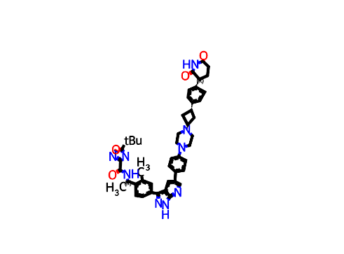 Cc1cc(-c2n[nH]c3ncc(-c4ccc(N5CCN([C@H]6C[C@@H](c7ccc([C@H]8CCC(=O)NC8=O)cc7)C6)CC5)cc4)cc23)ccc1[C@@H](C)NC(=O)c1noc(C(C)(C)C)n1